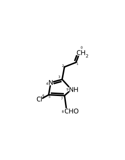 C=CCc1nc(Cl)c(C=O)[nH]1